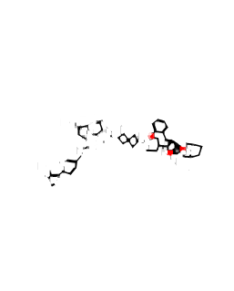 Cc1ncsc1-c1ccc(CNC(=O)[C@@H]2C[C@@H](O)CN2C(=O)[C@@H](NC(=O)[C@H]2CC3(C2)C[C@H](N2CCC(c4ccc(N5C6CCC5CN(c5cc(-c7ccccc7O)nnc5N)C6)cc4)CC2)C3)C(C)(C)C)cn1